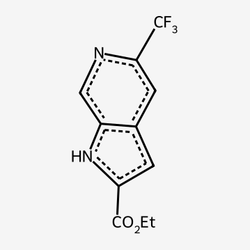 CCOC(=O)c1cc2cc(C(F)(F)F)ncc2[nH]1